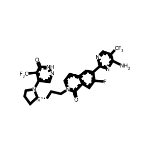 Nc1nc(-c2cc3ccn(CCC[C@@H]4CCCN4c4cn[nH]c(=O)c4C(F)(F)F)c(=O)c3cc2F)ncc1C(F)(F)F